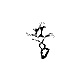 CN1Cc2ccccc2CC1N(C)c1nn(C)c(=O)n(C)c1=O